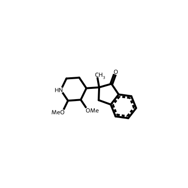 COC1NCCC(C2(C)Cc3ccccc3C2=O)C1OC